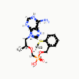 CSSc1ccccc1COP(=O)(O)COC(C)Cn1cnc2c(N)ncnc21